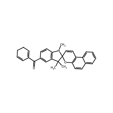 CN1c2ccc(C(=O)C3=CCCC=C3)cc2C(C)(C)C12C=Cc1c(ccc3ccccc13)O2